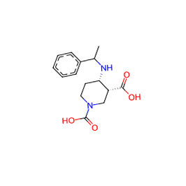 CC(N[C@H]1CCN(C(=O)O)C[C@H]1C(=O)O)c1ccccc1